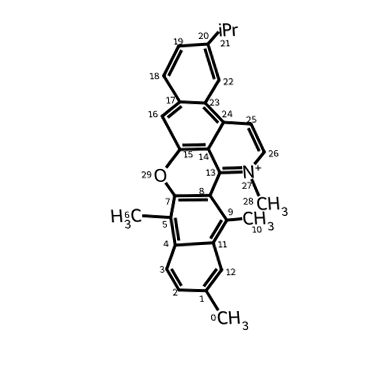 Cc1ccc2c(C)c3c(c(C)c2c1)-c1c2c(cc4ccc(C(C)C)cc4c2cc[n+]1C)O3